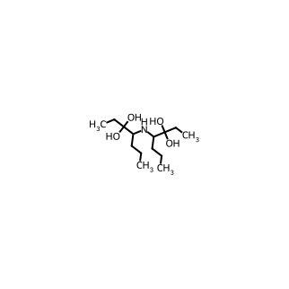 CCCC(NC(CCC)C(O)(O)CC)C(O)(O)CC